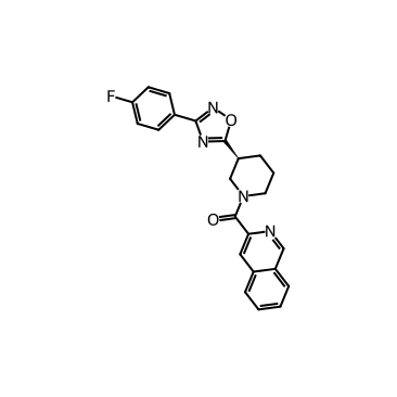 O=C(c1cc2ccccc2cn1)N1CCC[C@H](c2nc(-c3ccc(F)cc3)no2)C1